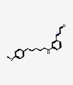 COc1ccc(CCCCCNc2cccc(/C=C/C=O)c2)cc1